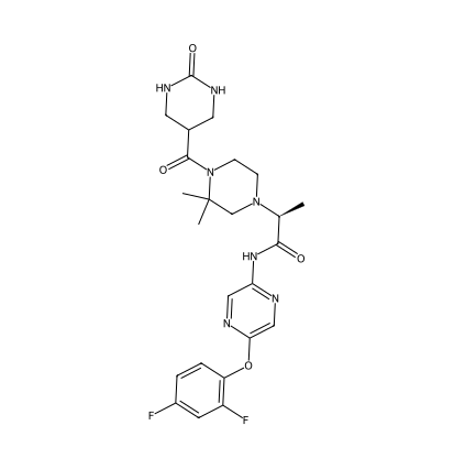 C[C@@H](C(=O)Nc1cnc(Oc2ccc(F)cc2F)cn1)N1CCN(C(=O)C2CNC(=O)NC2)C(C)(C)C1